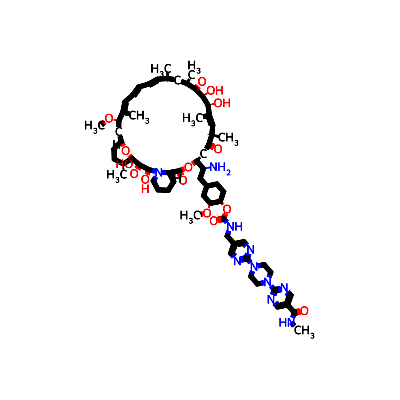 CNC(=O)c1cnc(N2CCN(c3ncc(CNC(=O)O[C@@H]4CCC(C[C@@H](N)[C@@H]5CC(=O)[C@H](C)/C=C(\C)[C@@H](O)[C@@H](O)C(=O)[C@H](C)C[C@H](C)/C=C/C=C/C=C(\C)[C@@H](OC)C[C@@H]6CC[C@@H](C)[C@@](O)(O6)C(=O)C(O)N6CCCC[C@H]6C(=O)O5)C[C@H]4OC)cn3)CC2)nc1